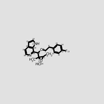 CC1OC1(C)C(OCCc1ccc(F)cc1)c1nccc2cc[nH]c12.Cl